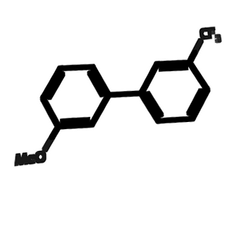 COc1cccc(-c2cccc(C(F)(F)F)c2)c1